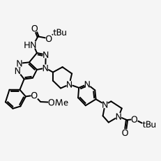 COCOc1ccccc1-c1cc2c(nn1)c(NC(=O)OC(C)(C)C)nn2C1CCN(c2ccc(N3CCN(C(=O)OC(C)(C)C)CC3)cn2)CC1